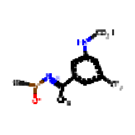 C/C(=N\[S+]([O-])C(C)(C)C)c1cc(NC(=O)O)cc(C(F)(F)F)c1